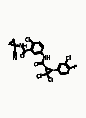 N#CC1(NC(=O)c2cc(NC(=O)[C@H]3[C@H](c4ccc(F)c(Cl)c4)C3(Cl)Cl)ccc2Cl)CC1